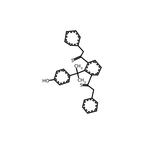 CC(C)(c1ccc(O)cc1)c1c(C(=S)Cc2ccccc2)cccc1C(=S)Cc1ccccc1